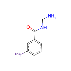 NCNC(=O)c1cccc([123I])c1